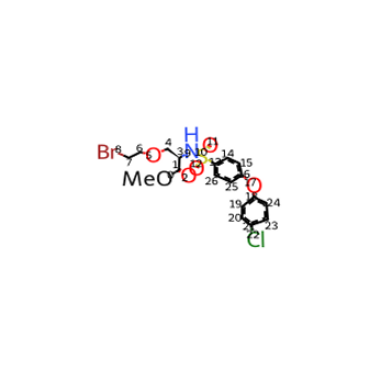 COC(=O)[C@@H](COCCBr)NS(=O)(=O)c1ccc(Oc2ccc(Cl)cc2)cc1